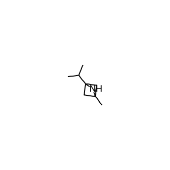 CC(C)C12CC(C)(C1)N2